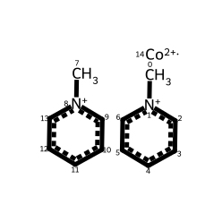 C[n+]1ccccc1.C[n+]1ccccc1.[Co+2]